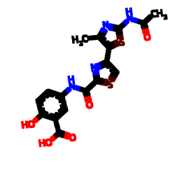 CC(=O)Nc1nc(C)c(-c2csc(C(=O)Nc3ccc(O)c(C(=O)O)c3)n2)s1